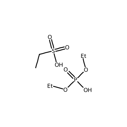 CCOP(=O)(O)OCC.CCS(=O)(=O)O